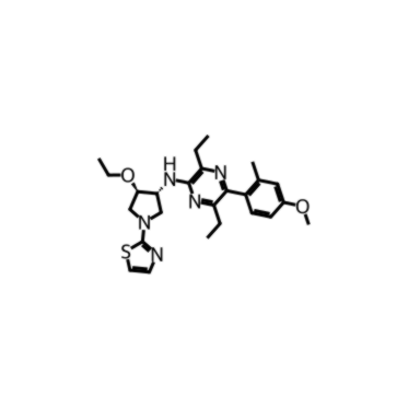 CCO[C@@H]1CN(c2nccs2)C[C@H]1Nc1nc(CC)c(-c2ccc(OC)cc2C)nc1CC